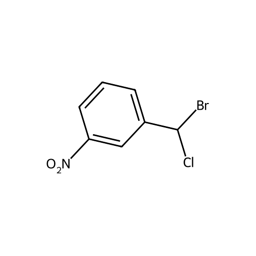 O=[N+]([O-])c1cccc(C(Cl)Br)c1